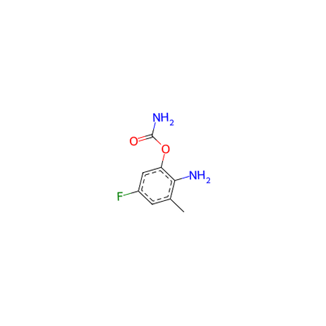 Cc1cc(F)cc(OC(N)=O)c1N